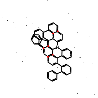 c1ccc(-c2ccccc2-c2ccccc2-c2ccccc2N(c2ccccc2-c2cccc3cccc(-c4ccccc4)c23)c2cccc3c2sc2ccccc23)cc1